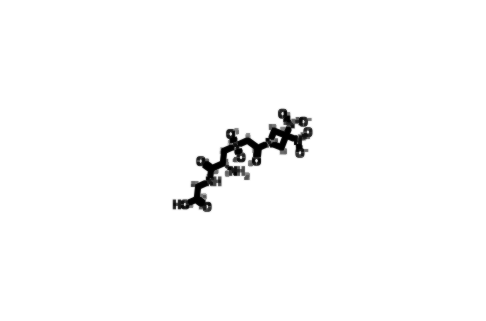 N[C@@H](CS(=O)(=O)CC(=O)N1CC([N+](=O)[O-])([N+](=O)[O-])C1)C(=O)NCC(=O)O